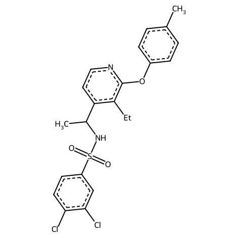 CCc1c(C(C)NS(=O)(=O)c2ccc(Cl)c(Cl)c2)ccnc1Oc1ccc(C)cc1